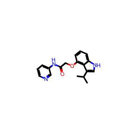 CC(C)c1c[nH]c2cccc(OCC(=O)Nc3cccnc3)c12